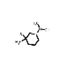 CN(C)N1CCCC(C)(C)C1